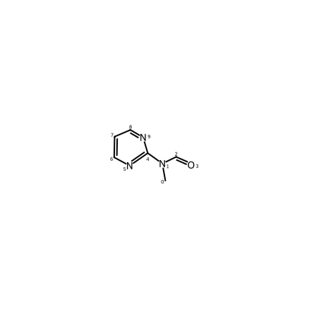 CN(C=O)c1ncccn1